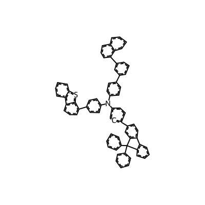 c1ccc(C2(c3ccccc3)c3ccccc3-c3ccc(-c4ccc(N(c5ccc(-c6cccc(-c7cccc8ccccc78)c6)cc5)c5ccc(-c6cccc7c6sc6ccccc67)cc5)cc4)cc32)cc1